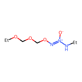 CCN/[N+]([O-])=N/OCOCOCC